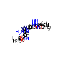 CC(C)S(=O)(=O)Nc1ccc(-c2nn(-c3ccc(NC(=O)Nc4cc(C(C)(C)C)on4)cc3)c3ncnc(N)c23)cc1